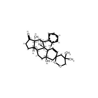 CC1(C)COOC2(C=C[C@@]34Cc5ccccc5[C@H]5C[C@]6(C)C(=O)CC[C@H]6[C@H](CC[C@@]3(O)C2)[C@H]54)C1